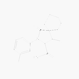 NC(=O)C1C(O)C2(C[CH]CCC2)C(=O)N1c1cccc(F)c1